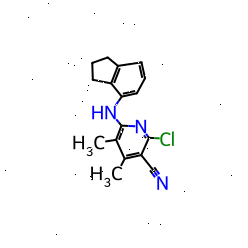 Cc1c(Nc2cccc3c2CCC3)nc(Cl)c(C#N)c1C